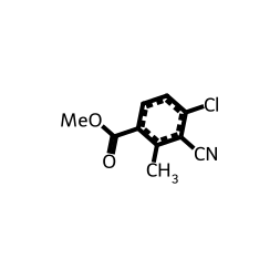 COC(=O)c1ccc(Cl)c(C#N)c1C